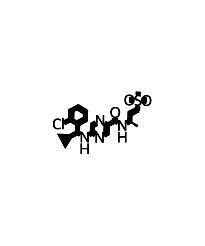 C[C@H](/C=C/S(C)(=O)=O)NC(=O)c1cnc(NC(c2ccccc2Cl)C2CC2)cn1